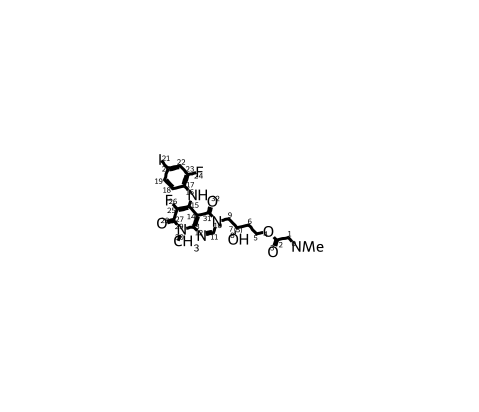 CNCC(=O)OCC[C@H](O)Cn1cnc2c(c(Nc3ccc(I)cc3F)c(F)c(=O)n2C)c1=O